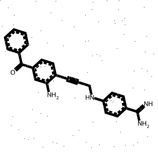 N=C(N)c1ccc(NCC#Cc2ccc(C(=O)c3ccccc3)cc2N)cc1